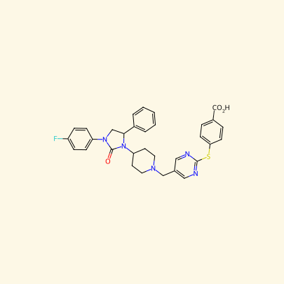 O=C(O)c1ccc(Sc2ncc(CN3CCC(N4C(=O)N(c5ccc(F)cc5)CC4c4ccccc4)CC3)cn2)cc1